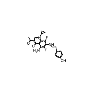 CC(=O)c1cn(C2CC2)c2c(F)c(NCCc3ccc(O)cc3)c(F)c(N)c2c1=O